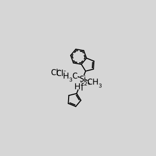 C[Si](C)([Hf+2][C]1=CC=CC1)C1C=Cc2ccccc21.[Cl-].[Cl-]